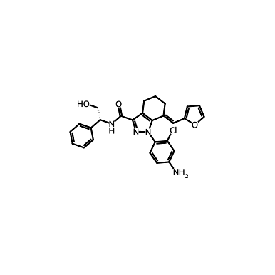 Nc1ccc(-n2nc(C(=O)N[C@@H](CO)c3ccccc3)c3c2/C(=C/c2ccco2)CCC3)c(Cl)c1